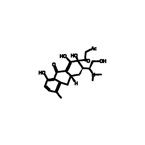 CC(=O)CC(=O)[C@@]1(O)C(O)=C2C(=O)c3c(O)ccc(C)c3C[C@H]2C[C@H]1[C@@H](CO)N(C)C